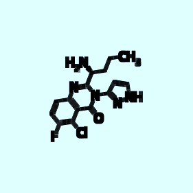 CCC[C@H](N)c1nc2ccc(F)c(Cl)c2c(=O)n1-c1cc[nH]n1